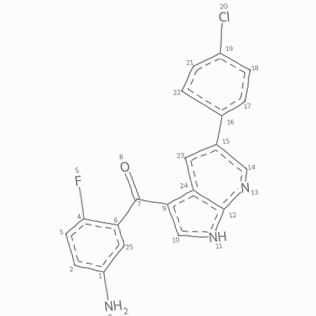 Nc1ccc(F)c(C(=O)c2c[nH]c3ncc(-c4ccc(Cl)cc4)cc23)c1